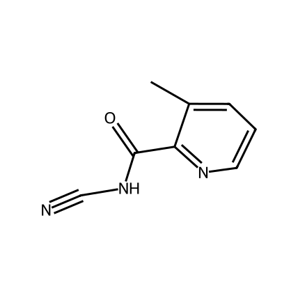 Cc1cccnc1C(=O)NC#N